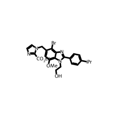 CCOC(=O)c1nccn1Cc1cc(OC)c2c(nc(-c3ccc(C(C)C)cc3)n2CCO)c1Br